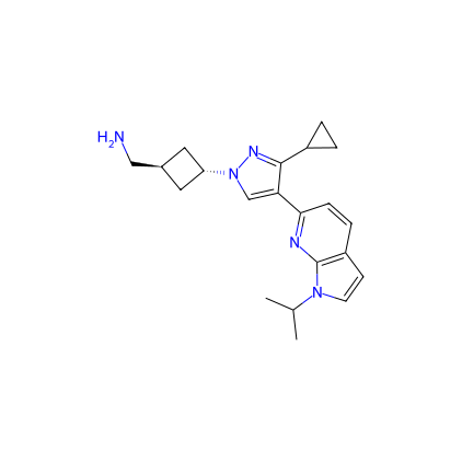 CC(C)n1ccc2ccc(-c3cn([C@H]4C[C@H](CN)C4)nc3C3CC3)nc21